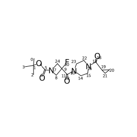 CC(C)(C)OC(=O)N1CC(F)(C(=O)N2CCN(C(=O)C3CC3)CC2)C1